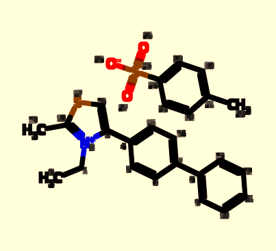 CC[n+]1c(-c2ccc(-c3ccccc3)cc2)csc1C.Cc1ccc(S(=O)(=O)[O-])cc1